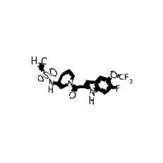 C=CS(=O)(=O)NC1CCCN(C(=O)c2cc3cc(OC(F)(F)F)c(F)cc3[nH]2)C1